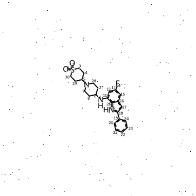 O=S1(=O)CCC(N2CCC(Nc3cc(F)cc4cc(-c5ccccc5)[nH]c34)CC2)CC1